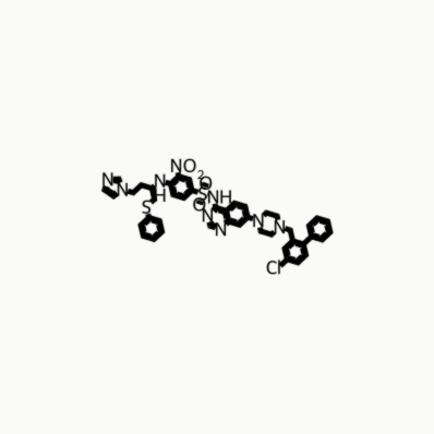 O=[N+]([O-])c1cc(S(=O)(=O)Nc2ncnc3cc(N4CCN(Cc5cc(Cl)ccc5-c5ccccc5)CC4)ccc23)ccc1NC(CCn1ccnc1)CSc1ccccc1